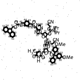 COc1ccc(C(OC[C@H]2O[C@@H](n3cc(C)c(=O)[nH]c3=O)C[C@H]2OP(=O)(OCCC#N)OC[C@H]2O[C@@H](n3cnc4c(NC(=O)c5ccc(CNC(=O)OCC6c7ccccc7-c7ccccc76)cc5)ncnc43)C[C@H]2OP(OCCC#N)N(C(C)C)C(C)C)(c2ccccc2)c2ccc(OC)cc2)cc1